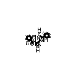 Cc1nc(-c2n[nH]cc2NC(=O)c2c(F)cccc2F)[nH]c1-c1ccccc1